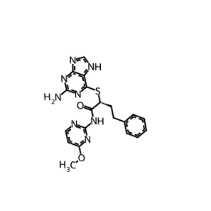 COc1ccnc(NC(=O)[C@H](CCc2ccccc2)Sc2nc(N)nc3nc[nH]c23)n1